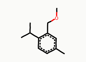 COCc1cc(C)ccc1C(C)C